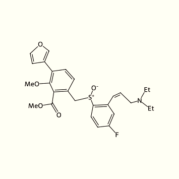 CCN(CC)C/C=C\c1cc(F)ccc1[S+]([O-])Cc1ccc(-c2ccoc2)c(OC)c1C(=O)OC